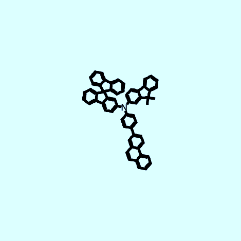 CC1(C)c2ccccc2-c2ccc(N(c3ccc(-c4ccc5c(ccc6ccccc65)c4)cc3)c3ccc4c(c3)C3(c5ccccc5-c5ccccc53)c3ccccc3-4)cc21